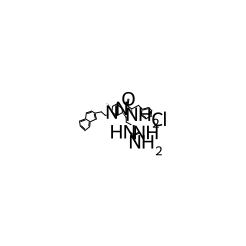 C[C@@H]1CN(C(=O)[C@H](N)Cc2ccc(Cl)cc2)[C@@H](CCCNC(=N)N)CN1CCc1ccc2ccccc2c1